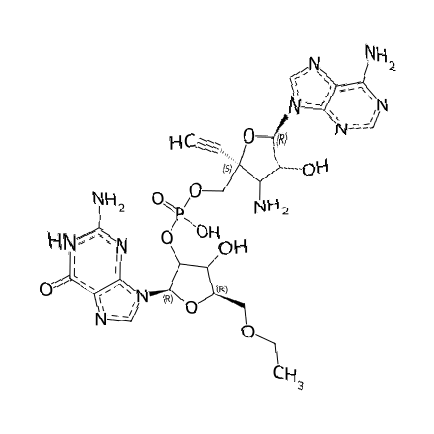 C#C[C@]1(COP(=O)(O)OC2C(O)[C@@H](COCC)O[C@H]2n2cnc3c(=O)[nH]c(N)nc32)O[C@@H](n2cnc3c(N)ncnc32)C(O)C1N